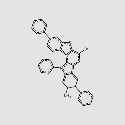 CC1C=c2c(c3cc(Br)c4sc5cc(-c6ccccc6)ccc5c4c3n2-c2ccccc2)=CC1c1ccccc1